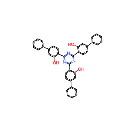 Oc1cc(-c2ccccc2)ccc1-c1nc(-c2ccc(-c3ccccc3)cc2O)nc(-c2ccc(-c3ccccc3)cc2O)n1